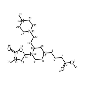 COC(=O)CCCN1CCN(C2CN(C)C(=O)O2)C(CCN2CCN(C)CC2)C1